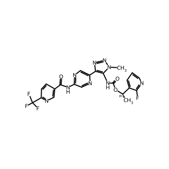 C[C@@H](OC(=O)Nc1c(-c2cnc(NC(=O)c3ccc(C(F)(F)F)nc3)cn2)nnn1C)c1cccnc1F